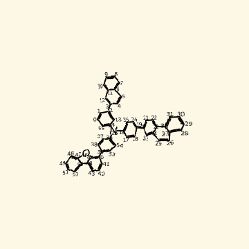 c1cc(-c2ccc3ccccc3c2)cc(N(c2ccc(-c3ccc4c(ccc5ccccc54)c3)cc2)c2ccc(-c3cccc4c3oc3ccccc34)cc2)c1